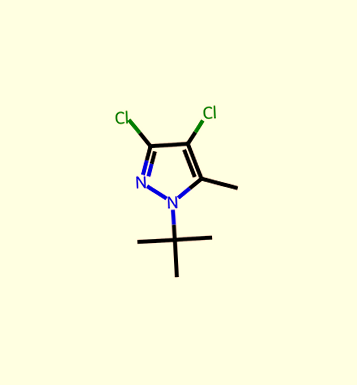 Cc1c(Cl)c(Cl)nn1C(C)(C)C